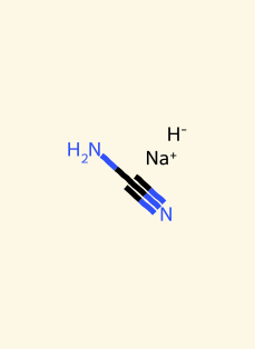 N#CN.[H-].[Na+]